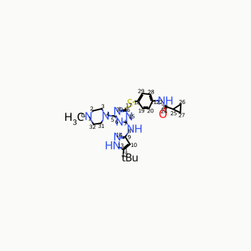 CN1CCN(c2nc(Nc3cc(C(C)(C)C)[nH]n3)nc(Sc3ccc(NC(=O)C4CC4)cc3)n2)CC1